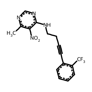 Cc1ncnc(NCCC#Cc2ccccc2C(F)(F)F)c1[N+](=O)[O-]